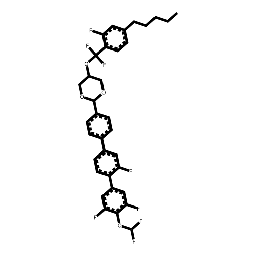 CCCCCc1ccc(C(F)(F)OC2COC(c3ccc(-c4ccc(-c5cc(F)c(OC(F)F)c(F)c5)c(F)c4)cc3)OC2)c(F)c1